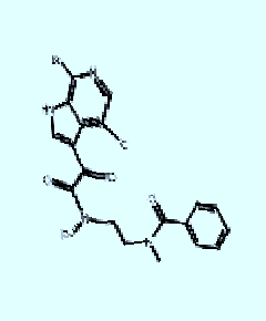 CCN(CCN(C)C(=O)c1ccccc1)C(=O)C(=O)c1c[nH]c2c(Br)ncc(Cl)c12